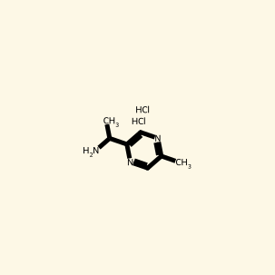 Cc1cnc(C(C)N)cn1.Cl.Cl